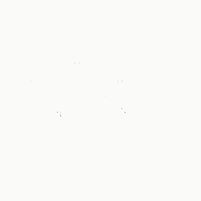 C#CCNC(=O)C1=C(OC)C(=O)N(C)C1